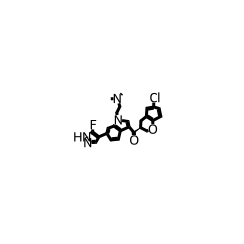 CN(C)CCn1cc(C(=O)[C@@H]2COc3ccc(Cl)cc3C2)c2ccc(-c3cn[nH]c3F)cc21